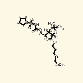 CCCCCCCCCCCOCCCO[C@@H]1O[C@H](COC(=O)NS(=O)(=O)N2CCCC2)[C@@H]2OC(C)(C)O[C@H]12